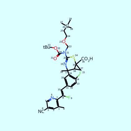 Cc1cc(C#N)cnc1/C(F)=C/c1ccc(F)c(C2(C)N=C(N(COCC[Si](C)(C)C)C(=O)OC(C)(C)C)SC3(C(=O)O)CC32)c1